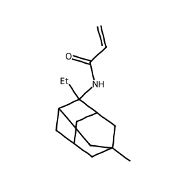 C=CC(=O)NC1(CC)C2CC3CC1CC(C)(C3)C2